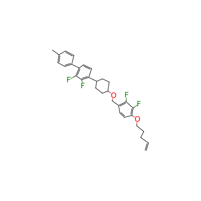 C=CCCCOc1ccc(COC2CCC(c3ccc(-c4ccc(C)cc4)c(F)c3F)CC2)c(F)c1F